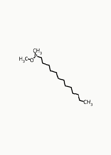 CCCCCCCCCCCCCP(C)OC